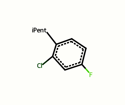 CCCC(C)c1ccc(F)cc1Cl